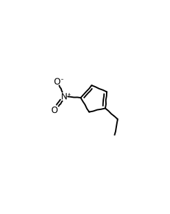 CCC1=CC=C([N+](=O)[O-])C1